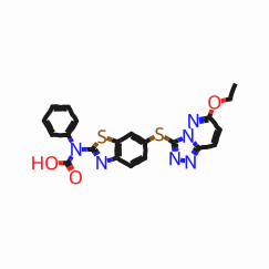 CCOc1ccc2nnc(Sc3ccc4nc(N(C(=O)O)c5ccccc5)sc4c3)n2n1